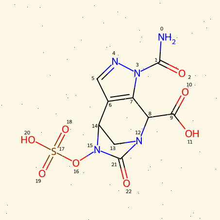 NC(=O)n1ncc2c1C(C(=O)O)N1CC2N(OS(=O)(=O)O)C1=O